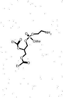 CCC(=O)OCC(COP(=O)(OC)OCCN)OC(=O)CC